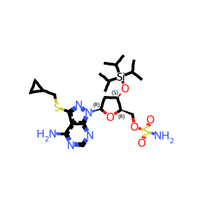 CC(C)[Si](O[C@H]1C[C@H](n2nc(SCC3CC3)c3c(N)ncnc32)O[C@@H]1COS(N)(=O)=O)(C(C)C)C(C)C